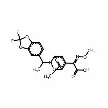 CON=C(C(=O)O)c1cc2cc(C)c1ON2C(C)c1ccc2c(c1)OC(F)(F)O2